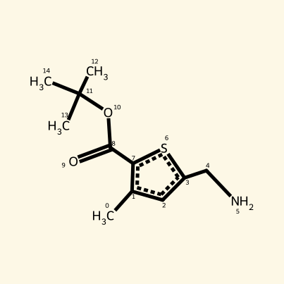 Cc1cc(CN)sc1C(=O)OC(C)(C)C